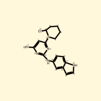 CCCc1cc(N2CCCCC2CC)nc(Nc2ccc3[nH]ccc3c2)n1